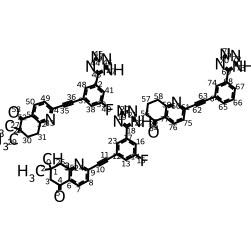 CC1(C)CC(=O)c2ccc(C#Cc3cc(F)cc(-c4nnn[nH]4)c3)nc2C1.CC1(C)CCc2nc(C#Cc3cc(F)cc(-c4nnn[nH]4)c3)ccc2C1=O.O=C1CCCc2nc(C#Cc3cccc(-c4nnn[nH]4)c3)ccc21